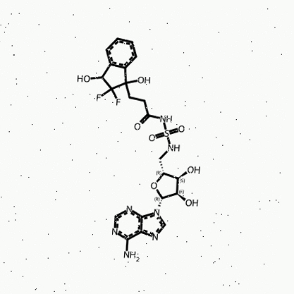 Nc1ncnc2c1ncn2[C@@H]1O[C@H](CNS(=O)(=O)NC(=O)CCC2(O)c3ccccc3C(O)C2(F)F)[C@@H](O)[C@H]1O